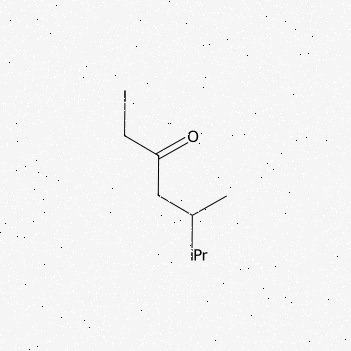 CC(C)C(C)CC(=O)CI